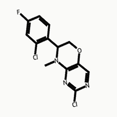 CN1c2nc(Cl)ncc2OCC1c1ccc(F)cc1Cl